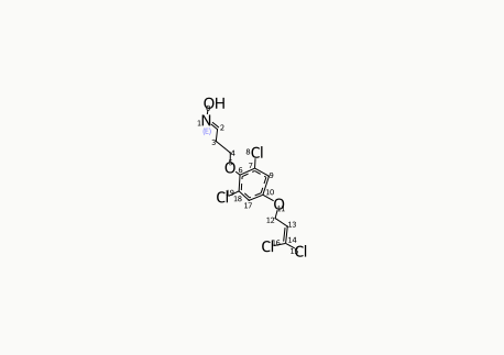 O/N=C/CCOc1c(Cl)cc(OCC=C(Cl)Cl)cc1Cl